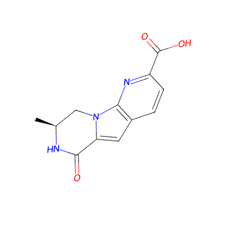 C[C@H]1Cn2c(cc3ccc(C(=O)O)nc32)C(=O)N1